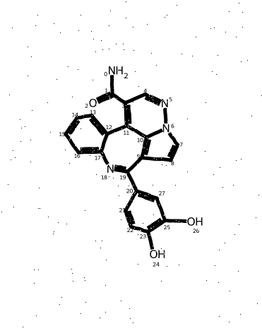 NC(=O)c1cnn2ccc3c2c1-c1ccccc1N=C3c1ccc(O)c(O)c1